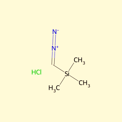 C[Si](C)(C)C=[N+]=[N-].Cl